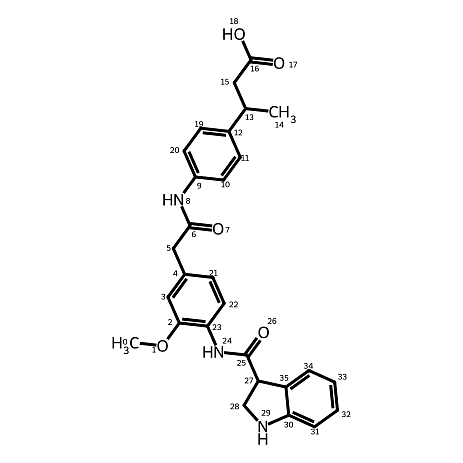 COc1cc(CC(=O)Nc2ccc(C(C)CC(=O)O)cc2)ccc1NC(=O)C1CNc2ccccc21